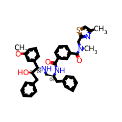 COc1cccc([C@H](NC[C@H](Cc2ccccc2)NC(=O)c2cccc(C(=O)N(C)Cc3nc(C)cs3)c2)[C@H](O)Cc2ccccc2)c1